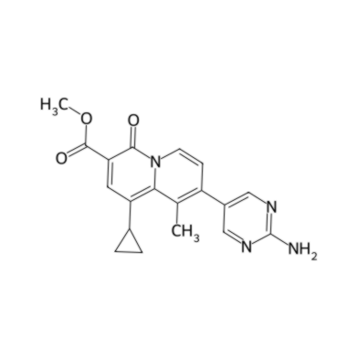 COC(=O)c1cc(C2CC2)c2c(C)c(-c3cnc(N)nc3)ccn2c1=O